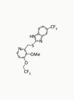 COc1c(OCC(F)(F)F)ccnc1CSc1nc2cc(C(F)(F)F)ccc2[nH]1